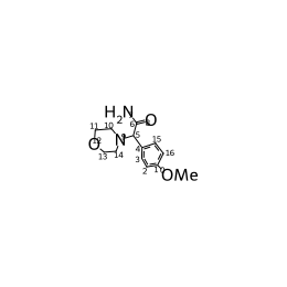 COc1ccc(C(C(N)=O)N2CCOCC2)cc1